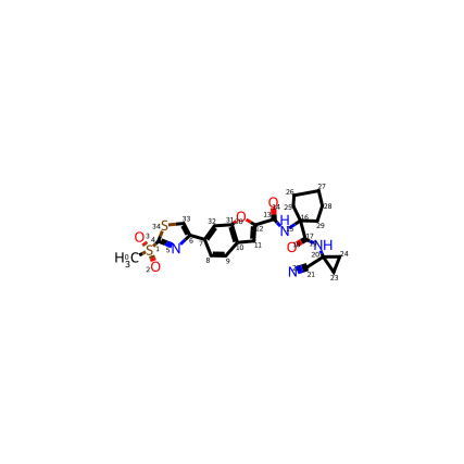 CS(=O)(=O)c1nc(-c2ccc3cc(C(=O)NC4(C(=O)NC5(C#N)CC5)CCCCC4)oc3c2)cs1